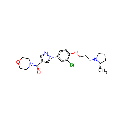 C[C@@H]1CCCN1CCCOc1ccc(-n2cc(C(=O)N3CCOCC3)cn2)cc1Br